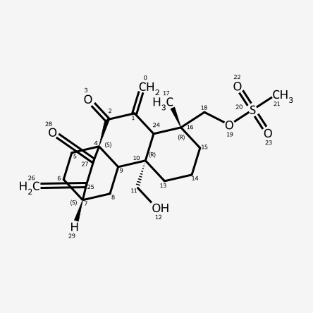 C=C1C(=O)[C@@]23CC[C@@H](CC2[C@]2(CO)CCC[C@@](C)(COS(C)(=O)=O)C12)C(=C)C3=O